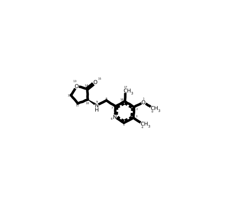 COc1c(C)cnc(CN[C@H]2CCOC2=O)c1C